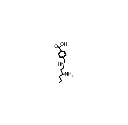 CCCC(N)CCNCc1ccc(C(=O)O)cc1